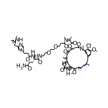 CNN(C)Cc1cn(CCC(=O)N[C@@H](CCC(N)=O)C(=O)NCCOCCOCCC(=O)N(C)[C@@H](C)C(=O)O[C@H]2CC(=O)N(C)c3cc(cc(OC)c3Cl)C/C(C)=C/C=C/[C@@H](OC)[C@@]3(O)C[C@H](OC(=O)N3)[C@@H](C)C3O[C@]32C)cn1